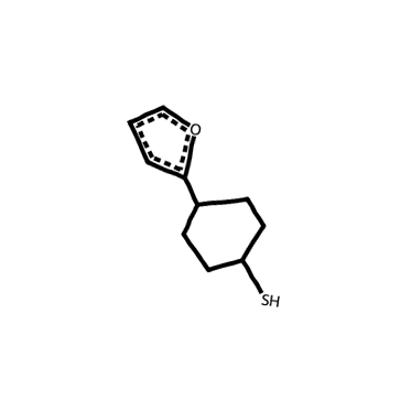 SC1CCC(c2ccco2)CC1